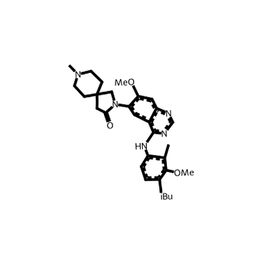 CCC(C)c1ccc(Nc2ncnc3cc(OC)c(N4CC5(CCN(C)CC5)CC4=O)cc23)c(C)c1OC